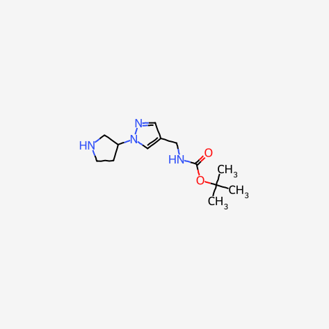 CC(C)(C)OC(=O)NCc1cnn(C2CCNC2)c1